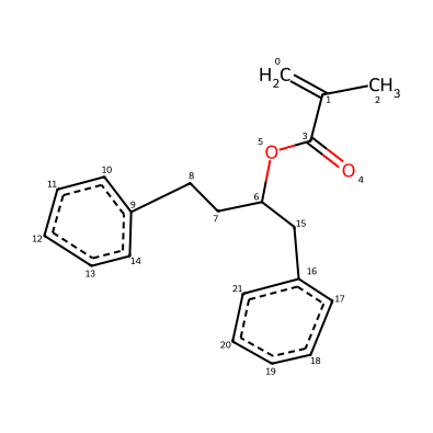 C=C(C)C(=O)OC(CCc1ccccc1)Cc1ccccc1